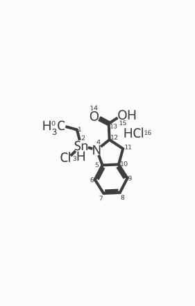 C[CH2][SnH]([Cl])[N]1c2ccccc2CC1C(=O)O.Cl